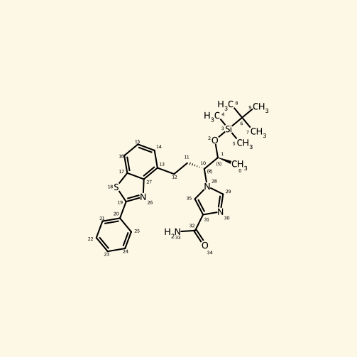 C[C@H](O[Si](C)(C)C(C)(C)C)[C@@H](CCc1cccc2sc(-c3ccccc3)nc12)n1cnc(C(N)=O)c1